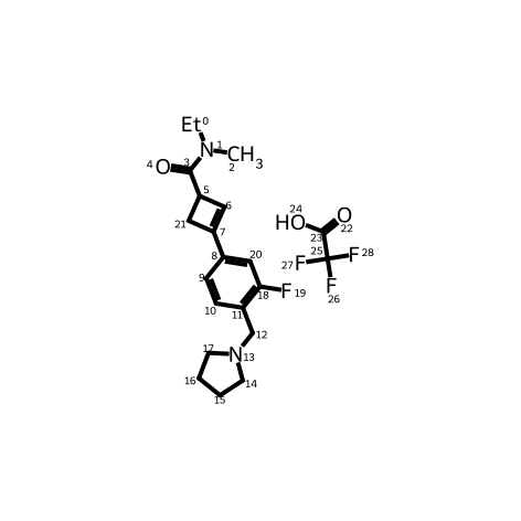 CCN(C)C(=O)C1C=C(c2ccc(CN3CCCC3)c(F)c2)C1.O=C(O)C(F)(F)F